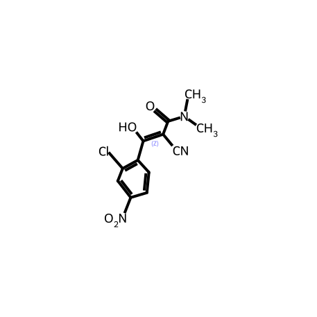 CN(C)C(=O)/C(C#N)=C(\O)c1ccc([N+](=O)[O-])cc1Cl